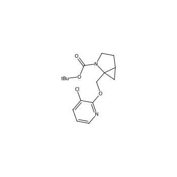 CC(C)(C)OC(=O)N1CCC2CC21COc1ncccc1Cl